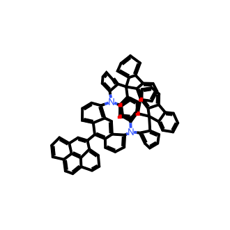 c1ccc2c(c1)-c1ccccc1C21c2ccccc2N(c2cccc3c(-c4cc5cccc6ccc7cccc4c7c65)c4cccc(N5c6ccccc6C6(c7ccccc7-c7ccccc76)c6ccccc65)c4cc23)c2ccccc21